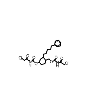 O=C(CCl)NC(=O)OCC1CCC(OC(=O)NC(=O)CCl)CC1CCCCCc1ccccc1